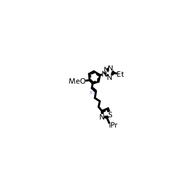 CCc1nnn(-c2ccc(OC)c(/C=C/CCCc3csc(C(C)C)n3)c2)n1